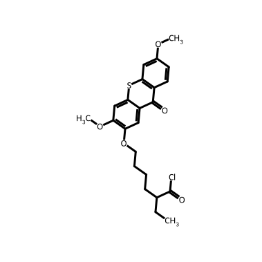 CCC(CCCCOc1cc2c(=O)c3ccc(OC)cc3sc2cc1OC)C(=O)Cl